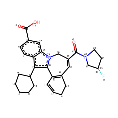 O=C(O)c1ccc2c(C3CCCCC3)c3n(c2c1)CC(C(=O)N1CC[C@H](F)C1)=CC1=C3C=CCC1